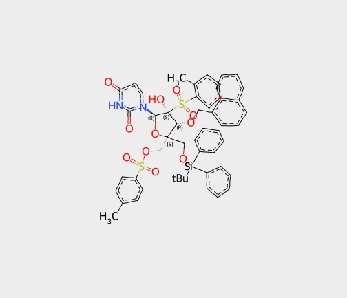 Cc1ccc(S(=O)(=O)OC[C@]2(CO[Si](c3ccccc3)(c3ccccc3)C(C)(C)C)O[C@@H](n3ccc(=O)[nH]c3=O)[C@@](O)(S(=O)(=O)c3ccccc3C)[C@@H]2OCc2cccc3ccccc23)cc1